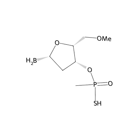 B[C@H]1C[C@@H](OP(C)(=O)S)[C@@H](COC)O1